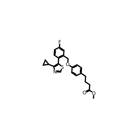 COC(=O)CCCc1ccc(OCc2cc(F)ccc2-c2scnc2C2CC2)cc1